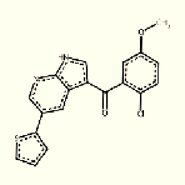 COc1ccc(Cl)c(C(=O)c2c[nH]c3ncc(-c4cccs4)cc23)c1